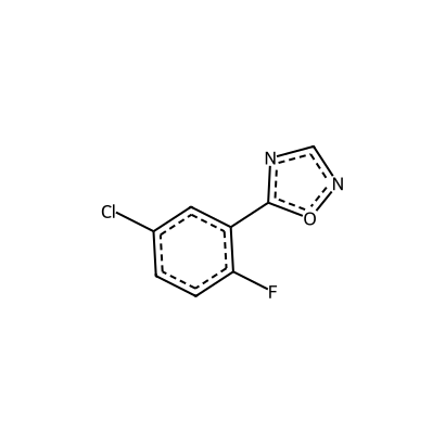 Fc1ccc(Cl)cc1-c1ncno1